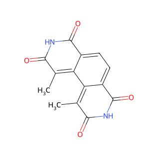 CC1=c2c(ccc3c2=C(C)C(=O)NC3=O)C(=O)NC1=O